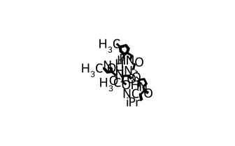 Cc1ccc(CNC(=O)[C@H](CO[C@H]2CCN(C(=O)/C(C#N)=C/C(C)C)C2)NC(=O)[C@@H](NC(=O)c2cc(C)no2)[C@@H](C)O)c(F)c1